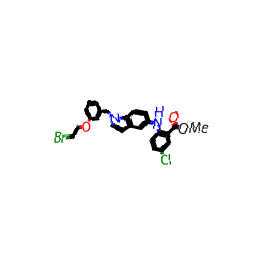 COC(=O)c1cc(Cl)ccc1Nc1ccc2c(ccn2Cc2cccc(OCCBr)c2)c1